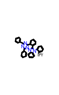 CC(C)c1ccccc1-n1c(-c2ccccc2-c2nc(-c3ccccc3)nc(-c3ccccc3)n2)nc2ccccc21